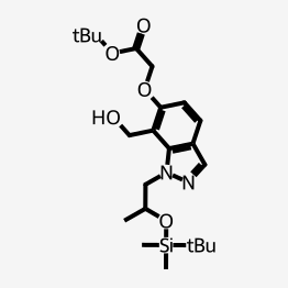 CC(Cn1ncc2ccc(OCC(=O)OC(C)(C)C)c(CO)c21)O[Si](C)(C)C(C)(C)C